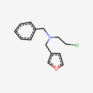 ClCCN(Cc1ccccc1)Cc1ccoc1